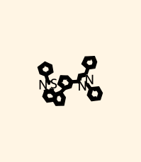 c1ccc(-c2cc(-c3cccc(-c4cccc5ccc6nc(-c7ccccc7)sc6c45)c3)nc(-c3ccccc3)n2)cc1